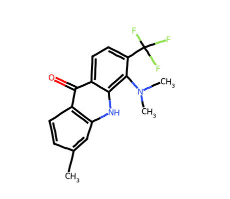 Cc1ccc2c(=O)c3ccc(C(F)(F)F)c(N(C)C)c3[nH]c2c1